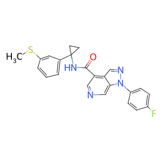 CSc1cccc(C2(NC(=O)c3cncc4c3cnn4-c3ccc(F)cc3)CC2)c1